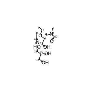 CC#N.CCOCCO.CN(C)C=O.OCC(O)CO